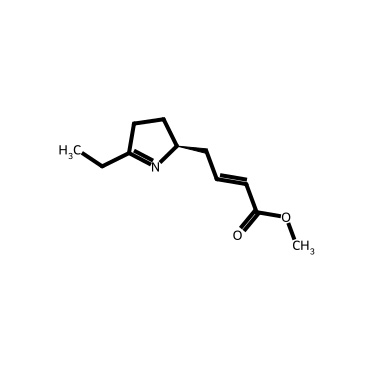 CCC1=N[C@H](C/C=C/C(=O)OC)CC1